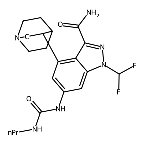 CCCNC(=O)Nc1cc(C2CN3CCC2CC3)c2c(C(N)=O)nn(C(F)F)c2c1